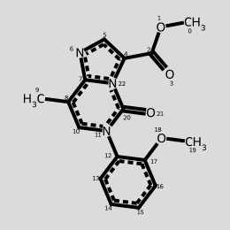 COC(=O)c1cnc2c(C)cn(-c3ccccc3OC)c(=O)n12